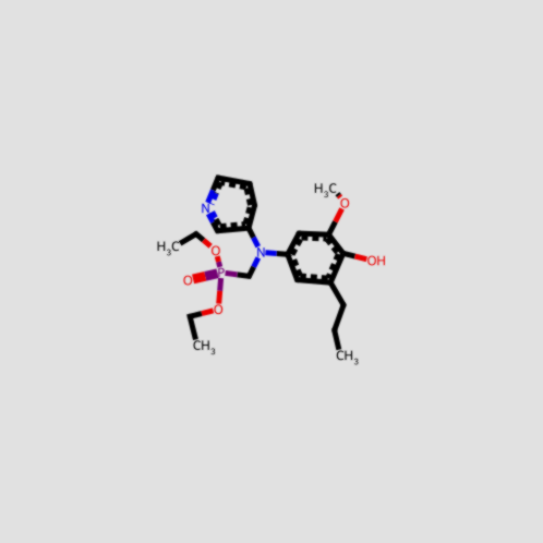 CCCc1cc(N(CP(=O)(OCC)OCC)c2cccnc2)cc(OC)c1O